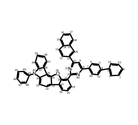 c1ccc(-c2ccc(-c3cc(-c4ccc5ccccc5c4)nc(-c4cccc5c4oc4c5ccc5c4c4ccccc4n5-c4ccccc4)n3)cc2)cc1